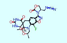 C[C@@H]1CN2c3c(cc4c(N5C(=O)OC[C@H]5CN=[N+]=[N-])noc4c3F)CC3(C(=O)NC(=O)NC3O)[C@H]2[C@H](C)O1